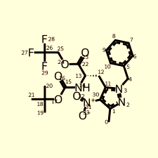 Cc1nn(Cc2ccccc2)c(C[C@H](NC(=O)OC(C)(C)C)C(=O)OCC(F)(F)F)c1[N+](=O)[O-]